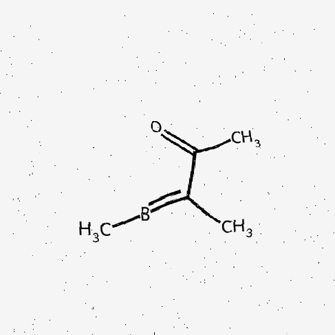 C/B=C(\C)C(C)=O